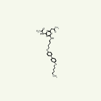 CCCCCCOc1ccc(-c2ccc(OCCCCNc3nc(CC(C)=O)nc(NC(C)=O)n3)cc2)cc1